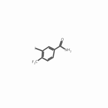 NC(=O)c1ccc(C(F)(F)F)c(I)c1